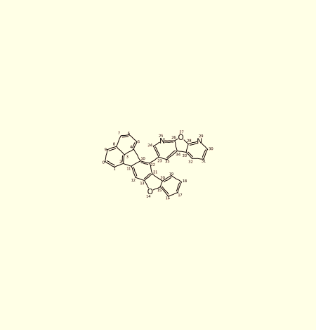 c1cc2c3c(cccc3c1)-c1c-2cc2oc3ccccc3c2c1-c1cnc2oc3ncccc3c2c1